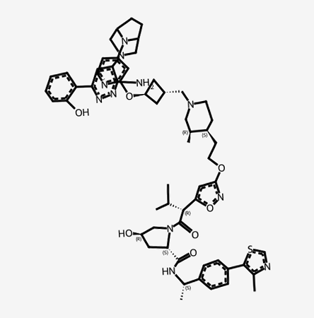 Cc1ncsc1-c1ccc([C@H](C)NC(=O)[C@@H]2C[C@@H](O)CN2C(=O)[C@@H](c2cc(OCC[C@@H]3CCN(C[C@H]4C[C@H](Oc5cc(N6C7CCC6CN(c6cc(-c8ccccc8O)nnc6N)C7)ccn5)C4)C[C@@H]3C)no2)C(C)C)cc1